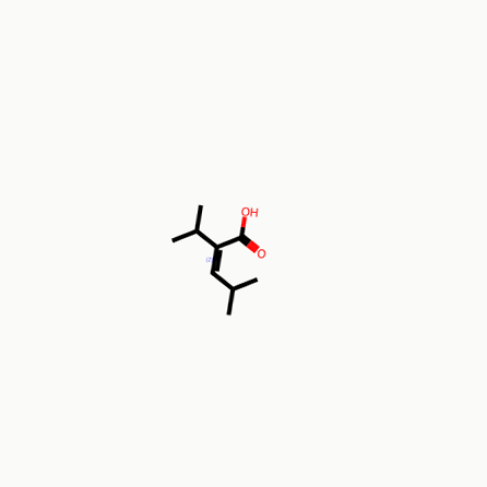 CC(C)/C=C(\C(=O)O)C(C)C